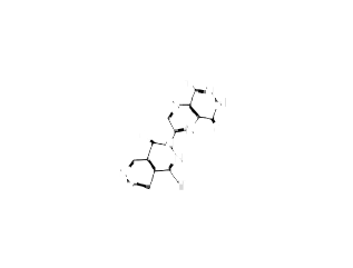 CC(C)c1nn(-c2cnc3c(C(C)C)n[nH]c(=O)c3n2)c(=O)c2cnncc12